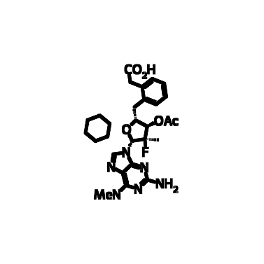 C1CCCCC1.CNc1nc(N)nc2c1ncn2[C@@H]1O[C@H](Cc2ccccc2CC(=O)O)[C@@H](OC(C)=O)[C@@]1(C)F